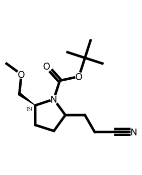 COC[C@@H]1CCC(CCC#N)N1C(=O)OC(C)(C)C